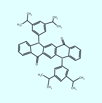 CC(C)c1cc(C(C)C)cc(-n2c3ccccc3c(=O)c3cc4c(cc32)c(=O)c2ccccc2n4-c2cc(C(C)C)cc(C(C)C)c2)c1